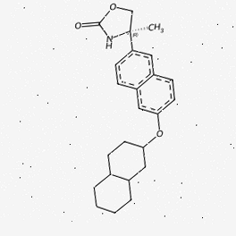 C[C@@]1(c2ccc3cc(OC4CCC5CCCCC5C4)ccc3c2)COC(=O)N1